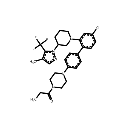 CCC(=O)N1CCN(c2ccc(-c3ccc(Cl)cc3N3CCCC(n4ncc(C)c4C(F)(F)F)C3)cc2)CC1